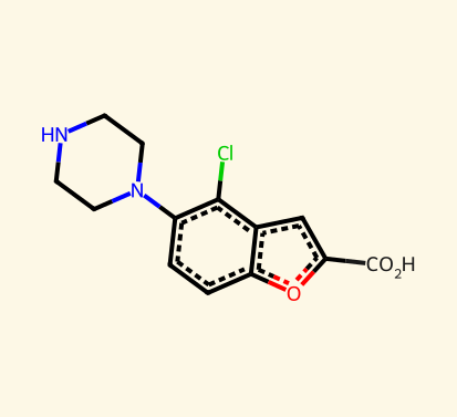 O=C(O)c1cc2c(Cl)c(N3CCNCC3)ccc2o1